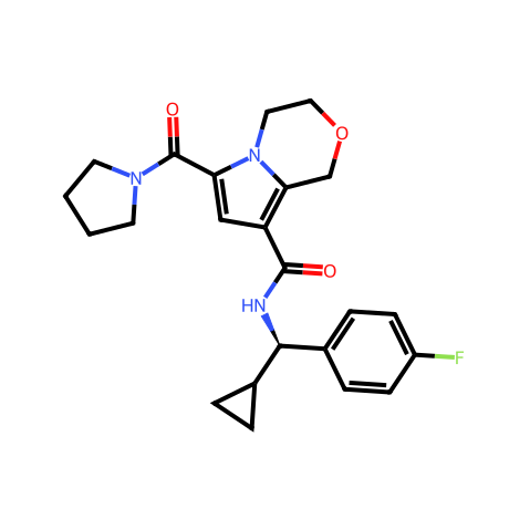 O=C(N[C@@H](c1ccc(F)cc1)C1CC1)c1cc(C(=O)N2CCCC2)n2c1COCC2